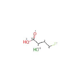 Cl.O=C(O)CCCF